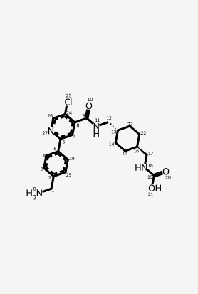 NCc1ccc(-c2cc(C(=O)NC[C@H]3CC[C@H](CNC(=O)O)CC3)c(Cl)cn2)cc1